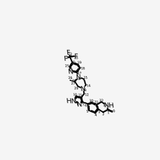 C=C1Cc2ccc(-c3n[nH]cc3CN3CCN(c4ccc(C(F)(F)F)cn4)[C@H](C)C3)cc2CN1